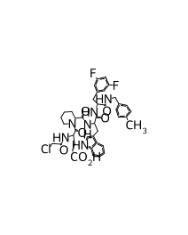 Cc1ccc(CNC(=O)C(Cc2cc(F)cc(F)c2)NC(=O)C(Cc2c[nH]c3ccccc23)NC(=O)C2CCCCN2C(=O)C(CCC(=O)O)NC(=O)CCl)cc1